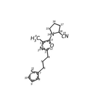 Cc1nc(CCCc2cccs2)oc1N1CCCC1C#N